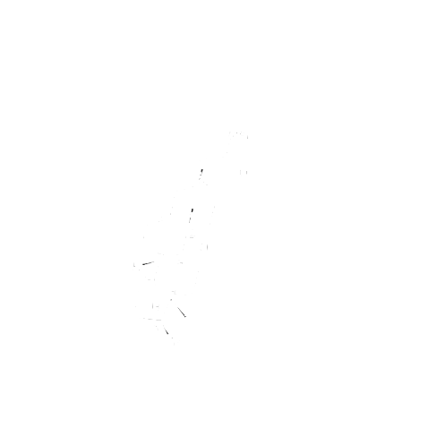 CCCCC(=O)O[C@H]1CC[C@@]2(C)C(=CC[C@H]3[C@@H]4CC[C@H](C(C)=O)[C@@]4(C)CC[C@@H]32)C1